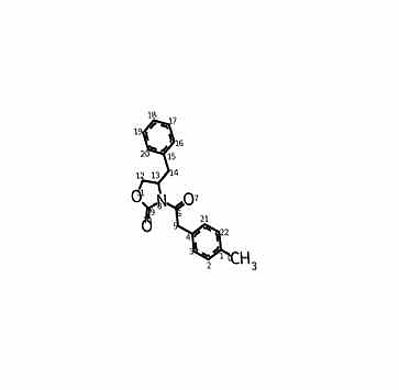 Cc1ccc(CC(=O)N2C(=O)OCC2Cc2ccccc2)cc1